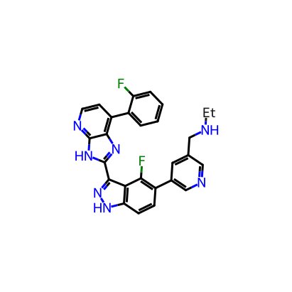 CCNCc1cncc(-c2ccc3[nH]nc(-c4nc5c(-c6ccccc6F)ccnc5[nH]4)c3c2F)c1